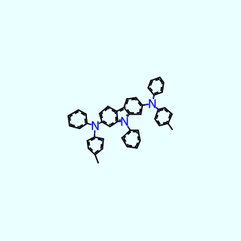 Cc1ccc(N(c2ccccc2)c2ccc3c4ccc(N(c5ccccc5)c5ccc(C)cc5)cc4n(-c4ccccc4)c3c2)cc1